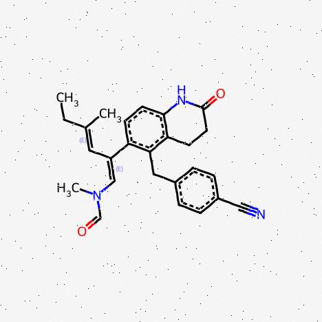 CC/C(C)=C/C(=C\N(C)C=O)c1ccc2c(c1Cc1ccc(C#N)cc1)CCC(=O)N2